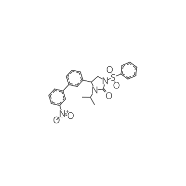 CC(C)N1C(=O)N(S(=O)(=O)c2ccccc2)CC1c1cccc(-c2cccc([N+](=O)[O-])c2)c1